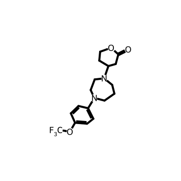 O=C1CC(N2CCCN(c3ccc(OC(F)(F)F)cc3)CC2)CCO1